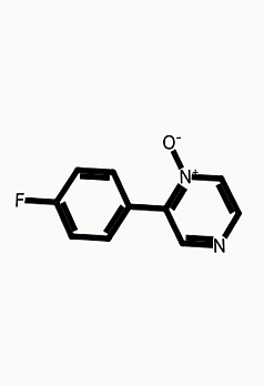 [O-][n+]1ccncc1-c1ccc(F)cc1